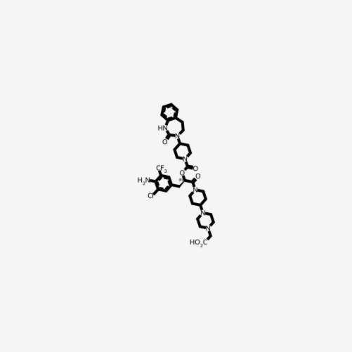 Nc1c(Cl)cc(C[C@@H](OC(=O)N2CCC(N3CCc4ccccc4NC3=O)CC2)C(=O)N2CCC(N3CCN(CC(=O)O)CC3)CC2)cc1C(F)(F)F